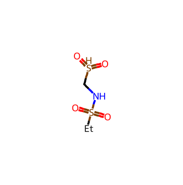 CCS(=O)(=O)NC[SH](=O)=O